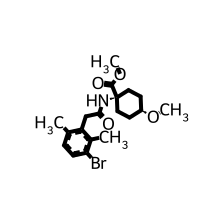 COC(=O)[C@]1(NC(=O)Cc2c(C)ccc(Br)c2C)CC[C@@H](OC)CC1